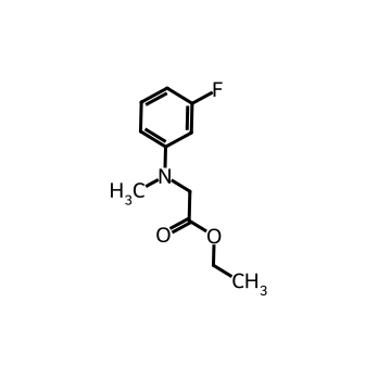 CCOC(=O)CN(C)c1cccc(F)c1